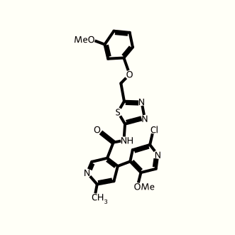 COc1cccc(OCc2nnc(NC(=O)c3cnc(C)cc3-c3cc(Cl)ncc3OC)s2)c1